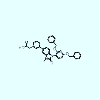 Cn1c(=O)n(-c2ccc(OCc3ccccc3)nc2OCc2ccccc2)c2ccc(-c3cccc(CC(=O)O)c3)cc21